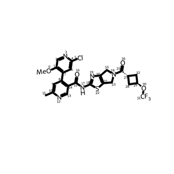 COc1cnc(Cl)cc1-c1cc(C)ncc1C(=O)Nc1nc2c(s1)CN(C(=O)[C@H]1C[C@H](OC(F)(F)F)C1)C2